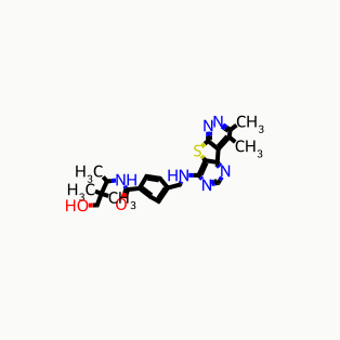 Cc1nnc2sc3c(NCc4ccc(C(=O)NC(C)C(C)(C)CO)cc4)ncnc3c2c1C